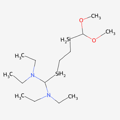 CCN(CC)C([SiH2]CC[SiH2]C(OC)OC)N(CC)CC